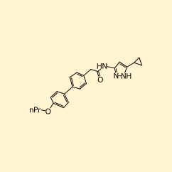 CCCOc1ccc(-c2ccc(CC(=O)Nc3cc(C4CC4)[nH]n3)cc2)cc1